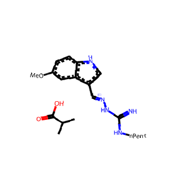 CC(C)C(=O)O.CCCCCNC(=N)N/N=C/c1c[nH]c2ccc(OC)cc12